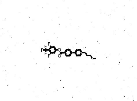 CCCCCc1ccc(-c2ccc(C(=O)Oc3cc(F)c(C(F)(F)F)c(F)c3)cc2)cc1